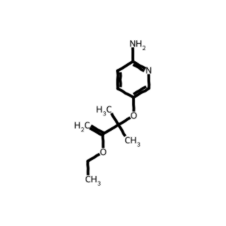 C=C(OCC)C(C)(C)Oc1ccc(N)nc1